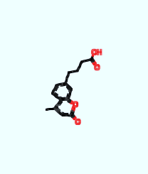 Cc1cc(=O)oc2cc(CCCC(=O)O)ccc12